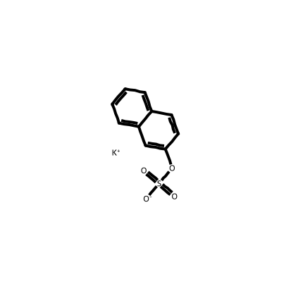 O=S(=O)([O-])Oc1ccc2ccccc2c1.[K+]